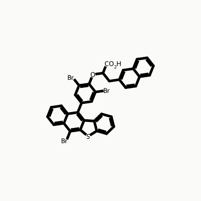 O=C(O)C(Cc1ccc2ccccc2c1)Oc1c(Br)cc(-c2c3ccccc3c(Br)c3sc4ccccc4c23)cc1Br